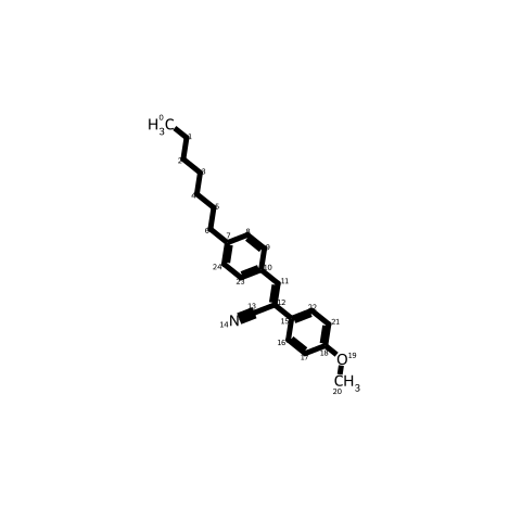 CCCCCCCc1ccc(C=C(C#N)c2ccc(OC)cc2)cc1